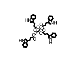 O=C(CCc1c[nH]c2ccccc12)OC[C@H](OC(=O)CCc1c[nH]c2ccccc12)[C@@H](COC(=O)CCc1c[nH]c2ccccc12)OC(=O)CCc1c[nH]c2ccccc12